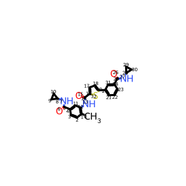 Cc1ccc(C(=O)NC2CC2)cc1NC(=O)c1ccc(-c2cccc(C(=O)NC3CC3)c2)s1